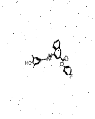 Cc1cc(/N=N/c2cc(C(=O)Oc3ccc(F)cc3)cc3ccccc23)cc(C)c1O